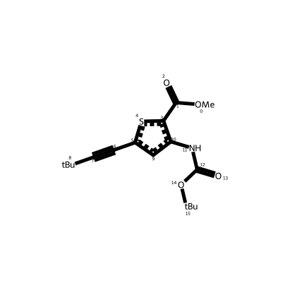 COC(=O)c1sc(C#CC(C)(C)C)cc1NC(=O)OC(C)(C)C